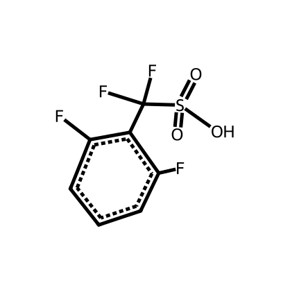 O=S(=O)(O)C(F)(F)c1c(F)cccc1F